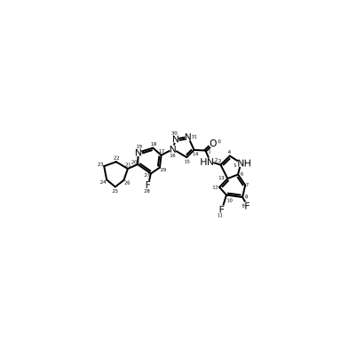 O=C(Nc1c[nH]c2cc(F)c(F)cc12)c1cn(-c2cnc(C3CCCCC3)c(F)c2)nn1